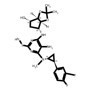 CCCSc1nc(N[C@@H]2C[C@H](O)[C@H]3OC(C)(C)O[C@H]32)c(N)c(N(C)[C@@H]2C[C@H]2c2ccc(F)c(F)c2)n1